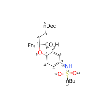 CCCCCCCCCCCCC(CC)(Oc1ccc(NS(=O)(=O)CCCC)cc1)C(=O)O